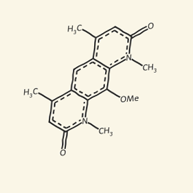 COc1c2c(cc3c(C)cc(=O)n(C)c13)c(C)cc(=O)n2C